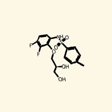 Cc1ccc(S(=O)(=O)Nc2ccc(F)c(F)c2OC[C@@H](O)CO)cc1